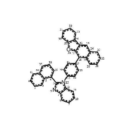 c1ccc2c(-c3nc4ccccc4n3-c3ccc(-c4c5ccccc5cc5c4oc4ccccc45)cc3)cccc2c1